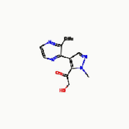 COc1nccnc1-c1cnn(C)c1C(=O)CO